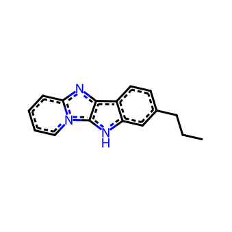 CCCc1ccc2c(c1)[nH]c1c2nc2ccccn21